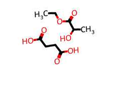 CCOC(=O)C(C)O.O=C(O)CCC(=O)O